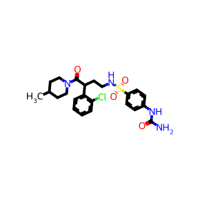 CC1CCN(C(=O)C(CCNS(=O)(=O)c2ccc(NC(N)=O)cc2)c2ccccc2Cl)CC1